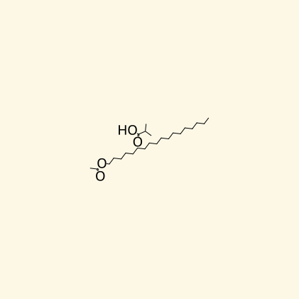 CC(C)C(=O)O.CCCCCCCCCCCCCCCCCCOC(C)=O